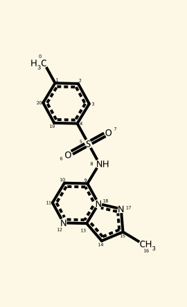 Cc1ccc(S(=O)(=O)Nc2ccnc3cc(C)nn23)cc1